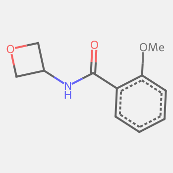 COc1ccccc1C(=O)NC1COC1